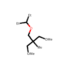 CCC(CC)OCC(COC)(COC)C(C)CC